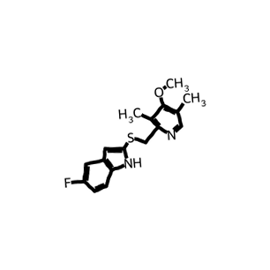 COc1c(C)cnc(CSc2cc3cc(F)ccc3[nH]2)c1C